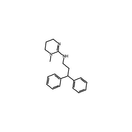 CN1CCCN=C1NCCC(c1ccccc1)c1ccccc1